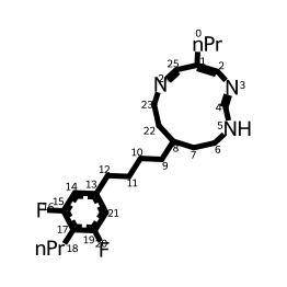 CCCC1=C/N=C/NCCC(CCCCc2cc(F)c(CCC)c(F)c2)CC/N=C\1